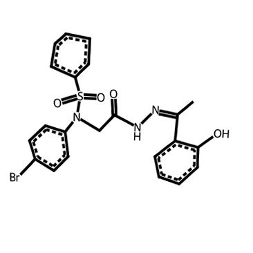 C/C(=N/NC(=O)CN(c1ccc(Br)cc1)S(=O)(=O)c1ccccc1)c1ccccc1O